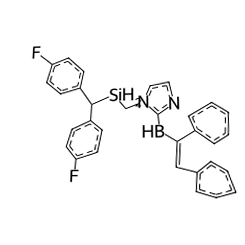 Fc1ccc(C([SiH2]Cn2ccnc2BC(=Cc2ccccc2)c2ccccc2)c2ccc(F)cc2)cc1